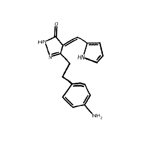 Nc1ccc(CCC2=NNC(=O)/C2=C/c2ccc[nH]2)cc1